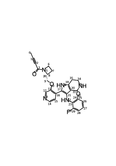 CC#CC(=O)N1CC[C@@H]1COc1cnccc1-c1[nH]c2c(c1Nc1c(C)cccc1F)C(=O)NCC2